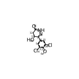 COc1c(Cl)cc(C2=NNC(=O)CC2O)cc1Cl